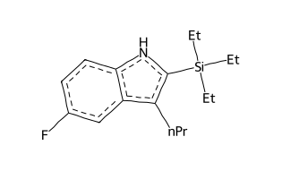 CCCc1c([Si](CC)(CC)CC)[nH]c2ccc(F)cc12